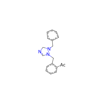 CC(=O)c1ccccc1CN1C=NCN1Cc1ccccc1